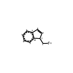 FCC1C=Cc2cc[c]cc21